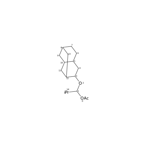 CC(=O)OC(OC1CC2CCC3CC2CC1C3)C(C)C